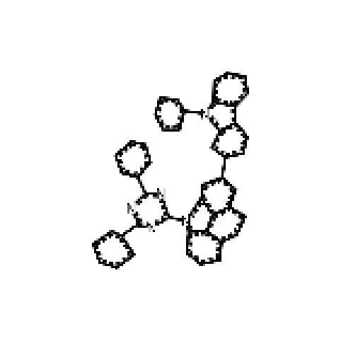 c1ccc(-c2nc(-c3ccccc3)nc(-n3c4cccc5ccc6cc(-c7ccc8c9ccccc9n(-c9ccccc9)c8c7)cc3c6c54)n2)cc1